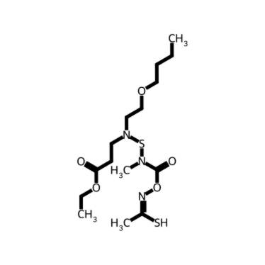 CCCCOCCN(CCC(=O)OCC)SN(C)C(=O)ON=C(C)S